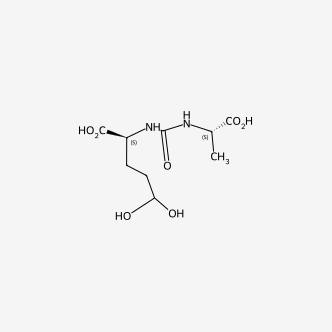 C[C@H](NC(=O)N[C@@H](CCC(O)O)C(=O)O)C(=O)O